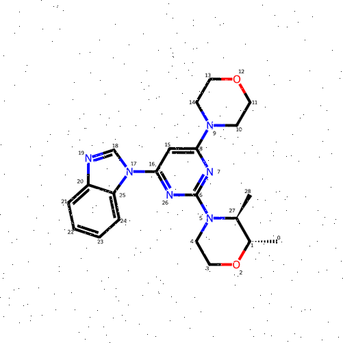 C[C@@H]1OCCN(c2nc(N3CCOCC3)cc(-n3cnc4ccccc43)n2)[C@H]1C